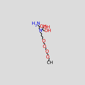 C#CCOCCOCCOCCOCCCCCN(CC(O)CN)C(CO)CO